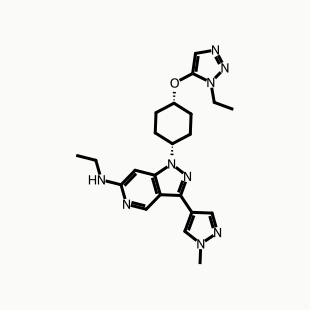 CCNc1cc2c(cn1)c(-c1cnn(C)c1)nn2[C@H]1CC[C@@H](Oc2cnnn2CC)CC1